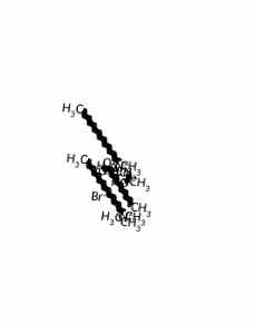 CC(O)CO.CCCCCCCCCCCC(=O)[O-].CCCCCCCCCCCCCCCC[N+](C)(C)C.CCCCCCCCCCCCCCCC[N+](C)(C)C.[Br-]